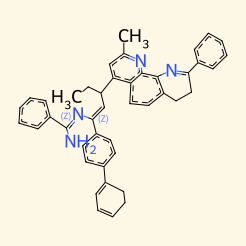 CCC(/C=C(\N=C(/N)c1ccccc1)c1ccc(C2=CC=CCC2)cc1)c1cc(C)nc2c3c(ccc12)CCC(c1ccccc1)=N3